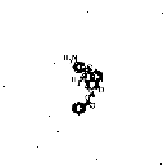 Cc1cn(COC(=O)c2ccccc2)c(=O)c2cccc(S(=O)(=O)N3CC[C@H](N)C3)c12